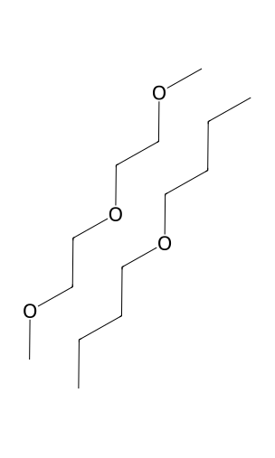 CCCCOCCCC.COCCOCCOC